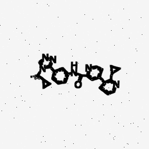 C[C@@H](C1CC1)n1cnnc1-c1cccc(NC(=O)c2cc(-c3cccnc3C3CC3)ccn2)c1